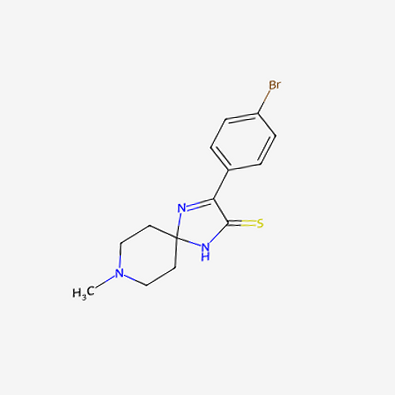 CN1CCC2(CC1)N=C(c1ccc(Br)cc1)C(=S)N2